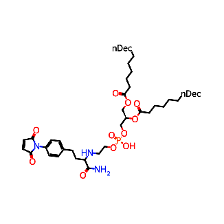 CCCCCCCCCCCCCCCC(=O)OC[C@H](COP(=O)(O)OCCNC(CCc1ccc(N2C(=O)C=CC2=O)cc1)C(N)=O)OC(=O)CCCCCCCCCCCCCCC